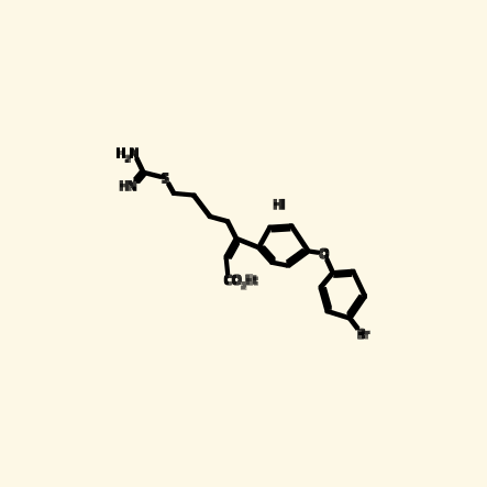 CCOC(=O)/C=C(/CCCCSC(=N)N)c1ccc(Oc2ccc(Br)cc2)cc1.I